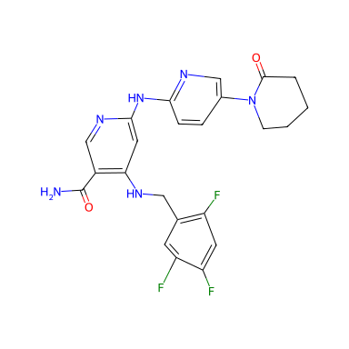 NC(=O)c1cnc(Nc2ccc(N3CCCCC3=O)cn2)cc1NCc1cc(F)c(F)cc1F